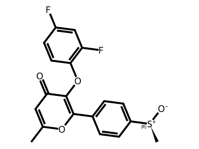 Cc1cc(=O)c(Oc2ccc(F)cc2F)c(-c2ccc([S@+](C)[O-])cc2)o1